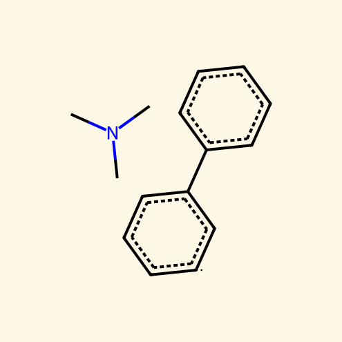 CN(C)C.[c]1cccc(-c2ccccc2)c1